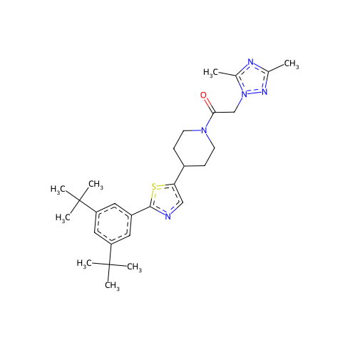 Cc1nc(C)n(CC(=O)N2CCC(c3cnc(-c4cc(C(C)(C)C)cc(C(C)(C)C)c4)s3)CC2)n1